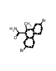 Cc1c(C(N)=O)c2cc(Br)ccc2c2ccc(Br)cc12